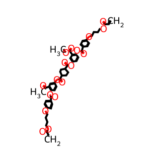 C=CC(=O)OCCCCOc1ccc(C(=O)Oc2ccc(OC(=O)C3CCC(C(=O)Oc4ccc(OC(=O)c5ccc(OCCCCOC(=O)C=C)cc5)c(C(=O)OC)c4)CC3)cc2C(C)=O)cc1